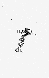 CCCCOc1ccc([C@H]2CC[C@H](OCCC[Si](OCC)(OCC)OCC)CC2)cc1